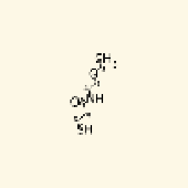 CCOCCNC(=O)CCS